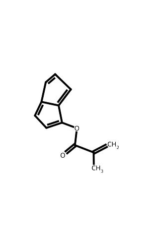 C=C(C)C(=O)OC1=CC=C2C=CC=C21